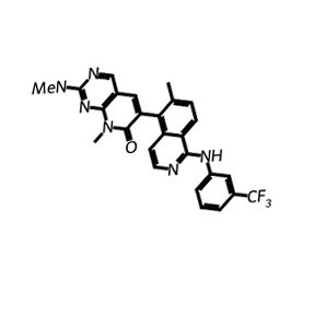 CNc1ncc2cc(-c3c(C)ccc4c(Nc5cccc(C(F)(F)F)c5)nccc34)c(=O)n(C)c2n1